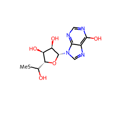 CSC(O)[C@H]1O[C@@H](n2cnc3c(O)ncnc32)[C@H](O)[C@@H]1O